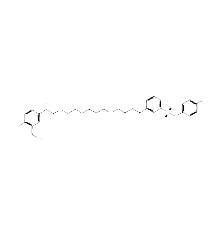 O=S(=O)(Nc1ccc(F)cc1)c1cccc(CCCCOCCCCCCNC[C@@H](O)c2ccc(O)c(CO)c2)c1